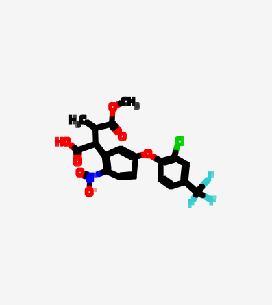 COC(=O)C(C)C(C(=O)O)c1cc(Oc2ccc(C(F)(F)F)cc2Cl)ccc1[N+](=O)[O-]